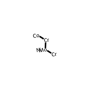 [Cr][Mo][Cr][Co].[Ni]